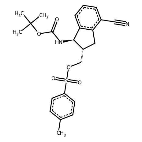 Cc1ccc(S(=O)(=O)OC[C@H]2Cc3c(C#N)cccc3[C@@H]2NC(=O)OC(C)(C)C)cc1